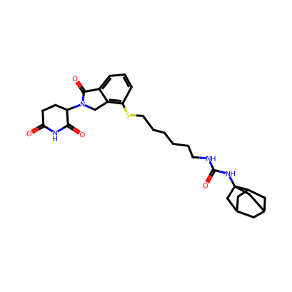 O=C1CCC(N2Cc3c(SCCCCCCNC(=O)NC45CC6CC(CC4C6)C5)cccc3C2=O)C(=O)N1